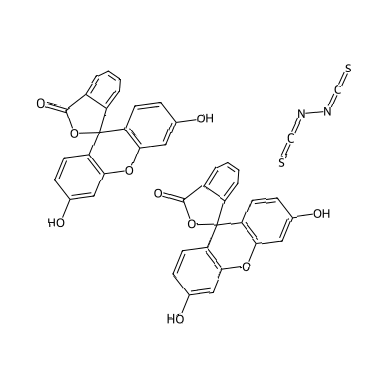 O=C1OC2(c3ccc(O)cc3Oc3cc(O)ccc32)c2ccccc21.O=C1OC2(c3ccc(O)cc3Oc3cc(O)ccc32)c2ccccc21.S=C=NN=C=S